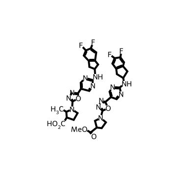 CC1C(C(=O)O)CCN1c1nnc(-c2cnc(NC3Cc4cc(F)c(F)cc4C3)nc2)o1.COC(=O)C1CCN(c2nnc(-c3cnc(NC4Cc5cc(F)c(F)cc5C4)nc3)o2)C1